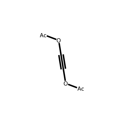 CC(=O)OC#COC(C)=O